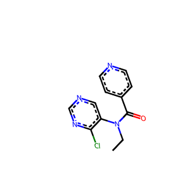 CCN(C(=O)c1ccncc1)c1cncnc1Cl